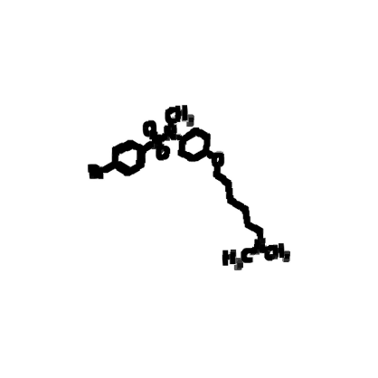 CN(C)CCCCCCO[C@H]1CC[C@H](N(C)S(=O)(=O)c2ccc(Br)cc2)CC1